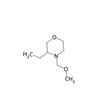 CCC1COCCN1COC